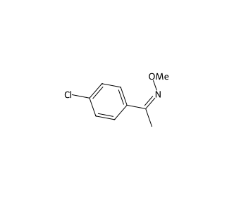 CO/N=C(/C)c1ccc(Cl)cc1